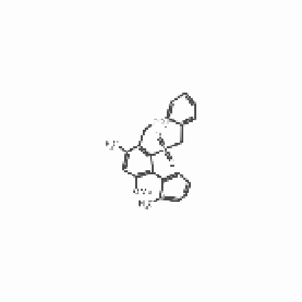 COc1cc(C(F)(F)F)c(CC(=O)O)c(S(=O)(=O)Cc2ccccc2)c1-c1ccccc1C